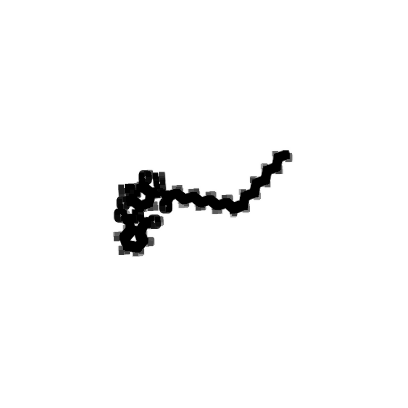 CCCCCCCC/C=C\CCCCCCCC(=O)NC1CC(N2C(=O)c3ccccc3C2=O)C(=O)NC1=O